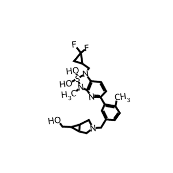 Cc1ccc(CN2CC3C(CO)C3C2)cc1-c1ccc2c(n1)N(C)S(O)(O)N2CC1CC1(F)F